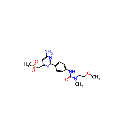 COCCN(C)C(=O)Nc1ccc(-c2nc(N)cc(CS(C)(=O)=O)n2)cc1